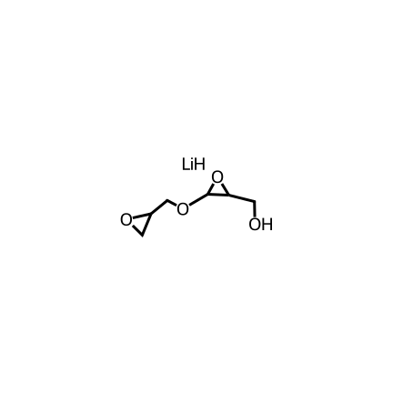 OCC1OC1OCC1CO1.[LiH]